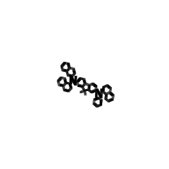 CC1(C)c2cc(N(c3ccccc3)c3cccc4ccccc34)ccc2-c2ccc(N(c3ccc4ccccc4c3)c3cccc4ccccc34)cc21